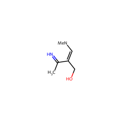 CN/C=C(/CO)C(C)=N